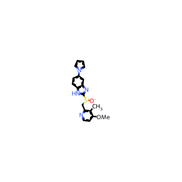 COc1ccnc(C[S@+]([O-])c2nc3cc(-n4cccc4)ccc3[nH]2)c1C